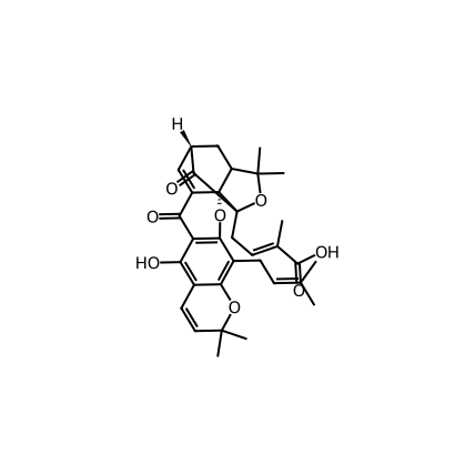 CC(C)=CCc1c2c(c(O)c3c1O[C@]14C(=C[C@@H]5CC1C(C)(C)OC4(C/C=C(\C)C(=O)O)C5=O)C3=O)C=CC(C)(C)O2